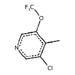 Cc1c(Cl)cncc1OC(F)(F)F